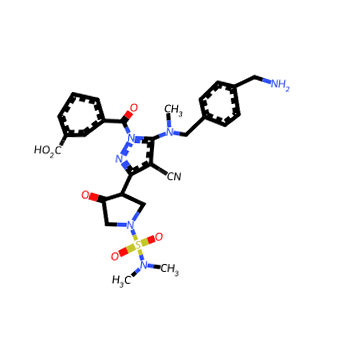 CN(Cc1ccc(CN)cc1)c1c(C#N)c(C2CN(S(=O)(=O)N(C)C)CC2=O)nn1C(=O)c1cccc(C(=O)O)c1